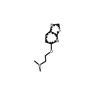 CN(C)CCOc1ccc2n[c]sc2n1